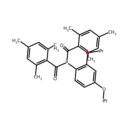 Cc1cc(C)c(C(=O)P(C(=O)c2c(C)cc(C)cc2C)c2ccc(OC(C)C)cc2OC(C)C)c(C)c1